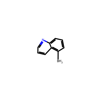 Bc1cccc2ncccc12